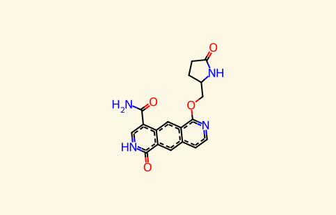 NC(=O)c1c[nH]c(=O)c2cc3ccnc(OCC4CCC(=O)N4)c3cc12